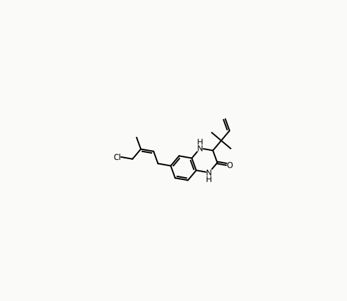 C=CC(C)(C)C1Nc2cc(CC=C(C)CCl)ccc2NC1=O